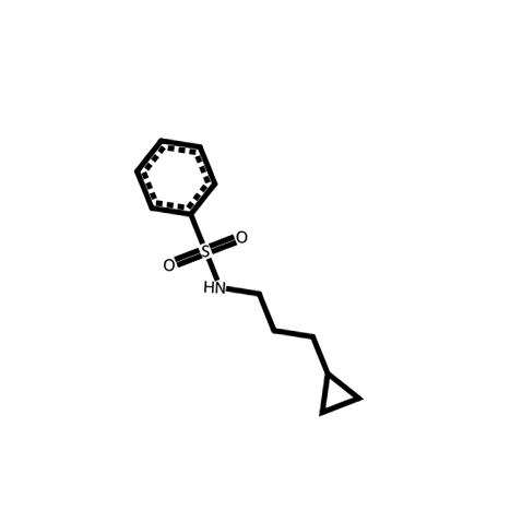 O=S(=O)(NCCCC1CC1)c1ccccc1